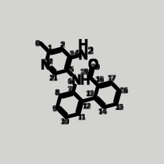 Cc1cc(N)c(Nc2ccccc2-c2ccccc2C=O)cn1